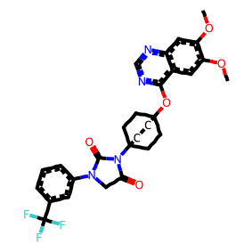 COc1cc2ncnc(OC34CCC(N5C(=O)CN(c6cccc(C(F)(F)F)c6)C5=O)(CC3)CC4)c2cc1OC